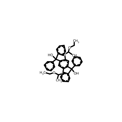 CCOC(C)Oc1cc(C(O)(c2ccccc2)c2ccccc2)c(OC(C)OCC)cc1C(O)(c1ccccc1)c1ccccc1